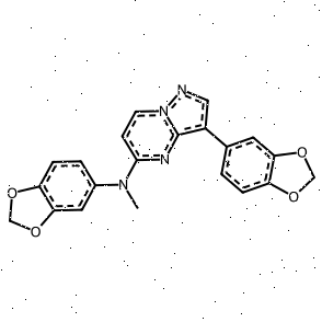 CN(c1ccc2c(c1)OCO2)c1ccn2ncc(-c3ccc4c(c3)OCO4)c2n1